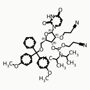 COc1ccc(C(OC[C@H]2O[C@@H](n3ccc(=O)[nH]c3=O)[C@H](OCCC#N)[C@@H]2OP(OCCC#N)N(C(C)C)C(C)C)(c2ccccc2)c2ccc(OC)cc2)cc1